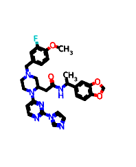 COc1ccc(CN2CCN(c3ccnc(-n4ccnc4)n3)C(CC(=O)NC(C)c3ccc4c(c3)OCO4)C2)cc1F